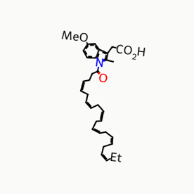 CC/C=C\C/C=C\C/C=C\C/C=C\C/C=C\C/C=C\CCC(=O)n1c(C)c(CC(=O)O)c2cc(OC)ccc21